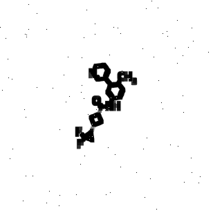 Cc1ccc(NC(=O)[C@H]2C[C@@H](C3CC3(F)F)C2)cc1-c1cccnc1